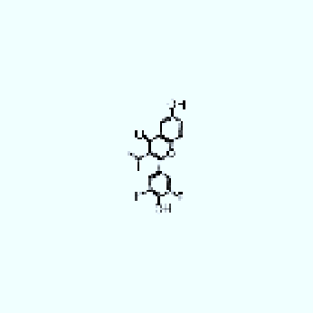 CC(C)c1c(-c2cc(F)c(O)c(F)c2)oc2ccc(O)cc2c1=O